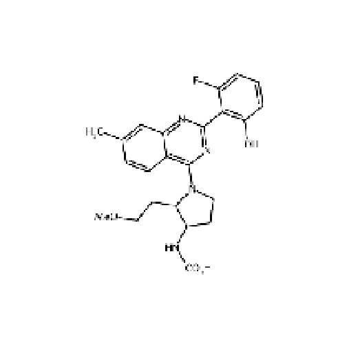 COCCC1C(NC(=O)O)CCN1c1nc(-c2c(O)cccc2F)nc2cc(C)ccc12